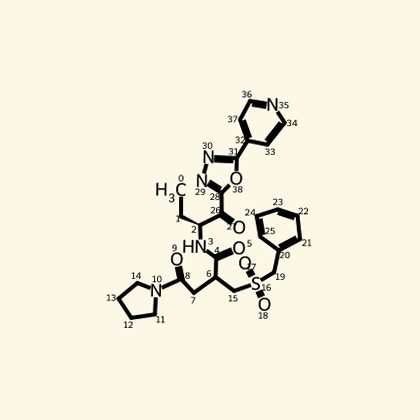 CC[C@H](NC(=O)C(CC(=O)N1CCCC1)CS(=O)(=O)Cc1ccccc1)C(=O)c1nnc(-c2ccncc2)o1